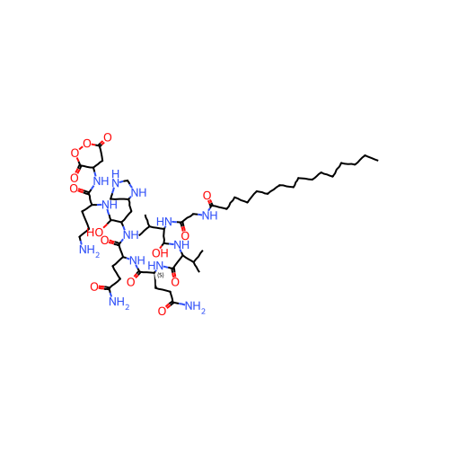 CCCCCCCCCCCCCCCC(=O)NCC(=O)NC(C(C)C)C(O)NC(C(=O)N[C@@H](CCC(N)=O)C(=O)NC(CCC(N)=O)C(=O)NC(CC1CNCN1)C(O)NC(CCCN)C(=O)NC1CC(=O)OOC1=O)C(C)C